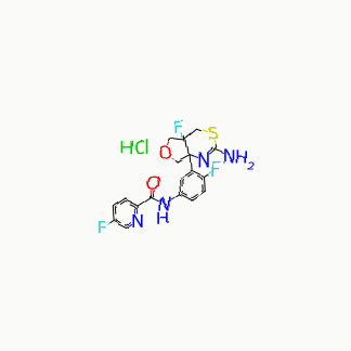 Cl.NC1=NC2(c3cc(NC(=O)c4ccc(F)cn4)ccc3F)COCC2(F)CS1